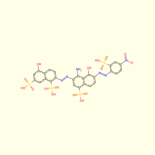 Nc1c(N=Nc2ccc3c(O)cc(S(=O)(=O)O)cc3c2S(=O)(=O)O)cc(S(=O)(=O)O)c2ccc(N=Nc3ccc([N+](=O)[O-])cc3S(=O)(=O)O)c(O)c12